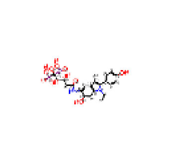 CCn1c(-c2ccc(O)cc2)c(C)c2cc(NC(=O)CCCC(O)(P(=O)(O)O)P(=O)(O)O)c(O)cc21